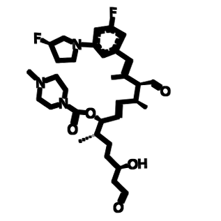 C/C(=C\c1cc(F)cc(N2CC[C@@H](F)C2)c1)[C@@H](C=O)[C@@H](C)/C=C/[C@H](OC(=O)N1CCN(C)CC1)[C@@H](C)CC[C@@H](O)CC=O